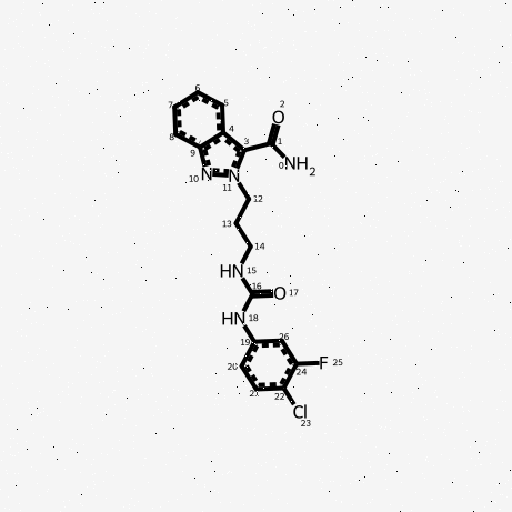 NC(=O)c1c2ccccc2nn1CCCNC(=O)Nc1ccc(Cl)c(F)c1